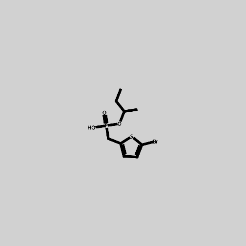 CCC(C)OP(=O)(O)Cc1ccc(Br)s1